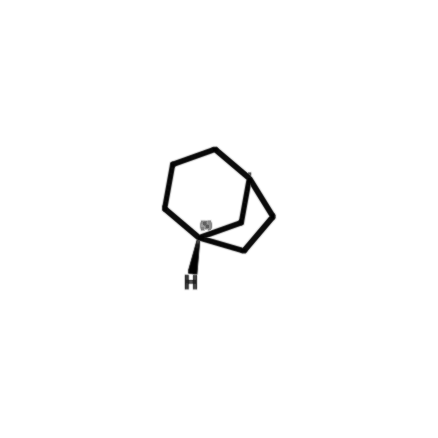 C1C[C]2CC[C@H](C1)C2